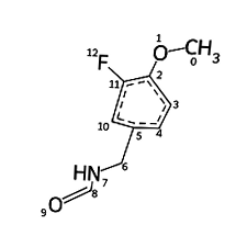 COc1ccc(CNC=O)cc1F